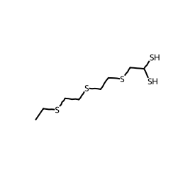 CCSCCSCCSCC(S)S